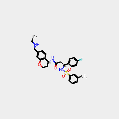 CC(C)CNCc1ccc2c(c1)OCC[C@H]2NC(=O)C[C@@H](NS(=O)(=O)c1cccc(C(F)(F)F)c1)c1ccc(F)cc1